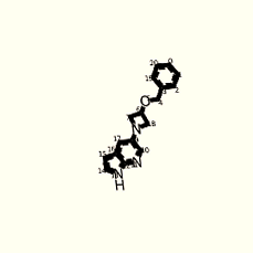 c1ccc(COC2CN(c3cnc4[nH]ccc4c3)C2)cc1